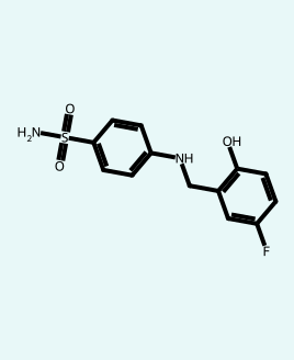 NS(=O)(=O)c1ccc(NCc2cc(F)ccc2O)cc1